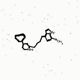 COc1ccc(CCCCC2CC(c3ccccc3)=CCN2)c2cc[nH]c12